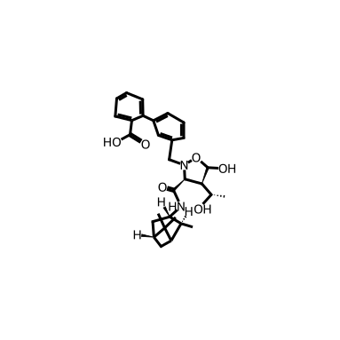 C[C@H](O)[C@@H]1C(O)ON(Cc2cccc(-c3ccccc3C(=O)O)c2)[C@@H]1C(=O)N[C@H]1C[C@H]2CC([C@@H]1C)C2(C)C